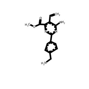 C=Cc1c(N)nc(-c2ccc(CN)cc2)nc1C(=O)OC